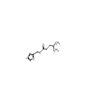 CC(C)CCC(=O)OCc1ccco1